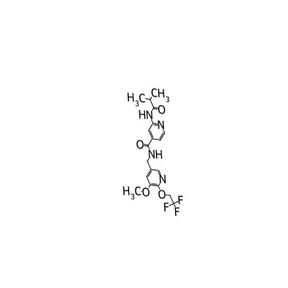 COc1cc(CNC(=O)c2ccnc(NC(=O)C(C)C)c2)cnc1OCC(F)(F)F